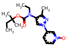 CCN(C(=O)OC(C)(C)CC)c1cn(-c2ccc[n+]([O-])c2)nc1C